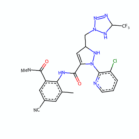 CNC(=O)c1cc(C#N)cc(C)c1NC(=O)C1=CC(CN2N=NC(C(F)(F)F)N2)NN1c1ncccc1Cl